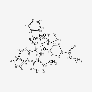 COC(=O)C1CCC(OC(C(=O)C(Nc2ccccc2C)c2ccc3ncoc3c2)(N2CCCC2)S(=O)(=O)c2ccccc2)CC1